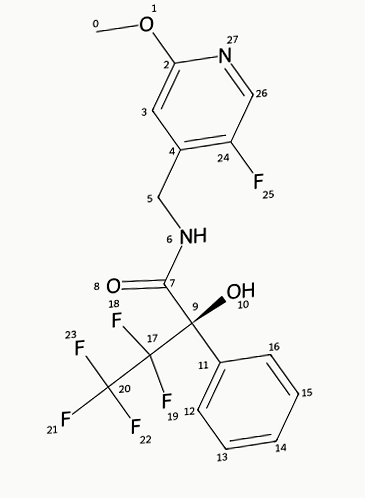 COc1cc(CNC(=O)[C@](O)(c2ccccc2)C(F)(F)C(F)(F)F)c(F)cn1